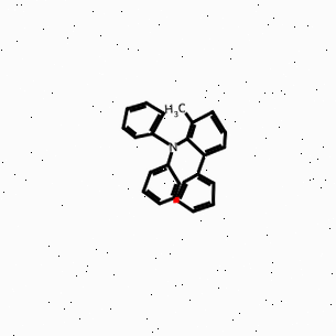 Cc1cccc(-c2ccccc2)c1N(c1ccccc1)c1ccccc1